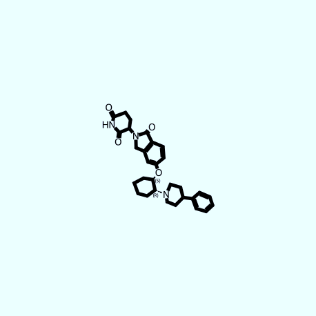 O=C1CCC(N2Cc3cc(O[C@H]4CCCC[C@H]4N4CCC(c5ccccc5)CC4)ccc3C2=O)C(=O)N1